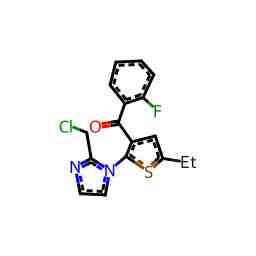 CCc1cc(C(=O)c2ccccc2F)c(-n2ccnc2CCl)s1